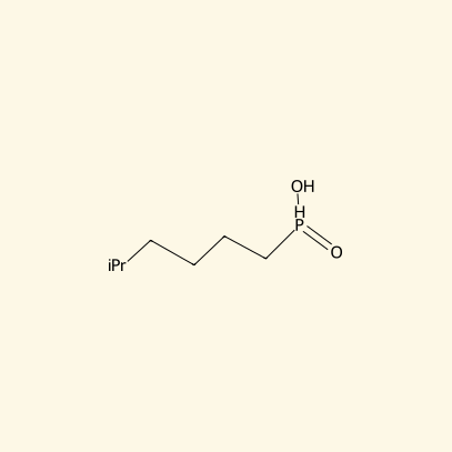 CC(C)CCCC[PH](=O)O